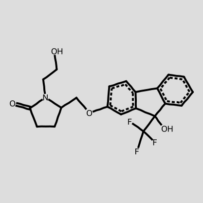 O=C1CCC(COc2ccc3c(c2)C(O)(C(F)(F)F)c2ccccc2-3)N1CCO